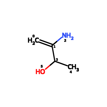 C=C(N)C(C)O